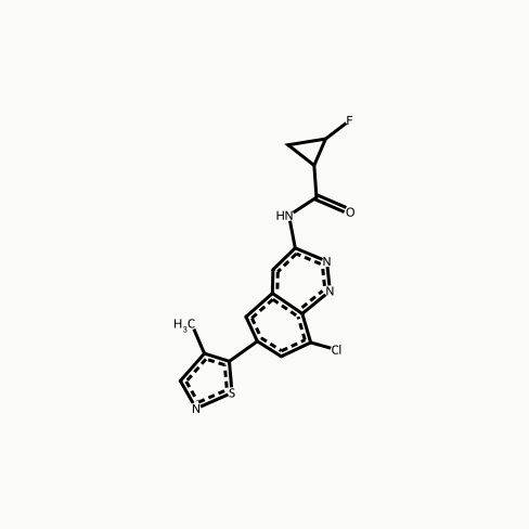 Cc1cnsc1-c1cc(Cl)c2nnc(NC(=O)C3CC3F)cc2c1